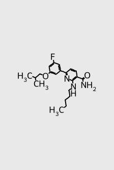 CCCCCNc1nc(-c2cc(F)cc(OCC(C)C)c2)ccc1C(N)=O